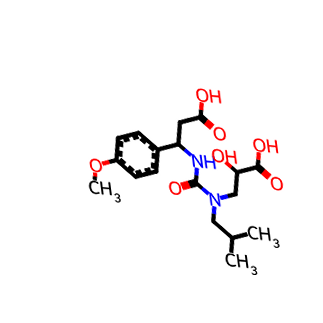 COc1ccc(C(CC(=O)O)NC(=O)N(CC(C)C)CC(O)C(=O)O)cc1